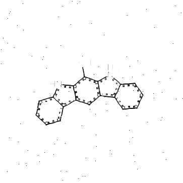 Oc1c2[nH]c3ccccc3c2cc2c1[nH]c1ccccc12